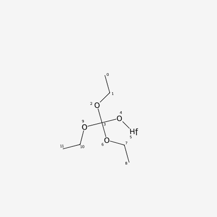 CCOC([O][Hf])(OCC)OCC